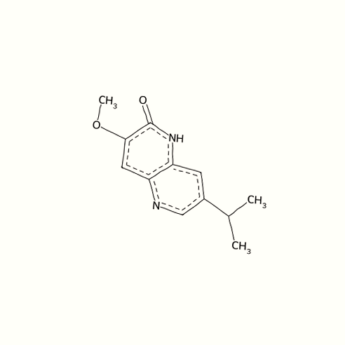 COc1cc2ncc(C(C)C)cc2[nH]c1=O